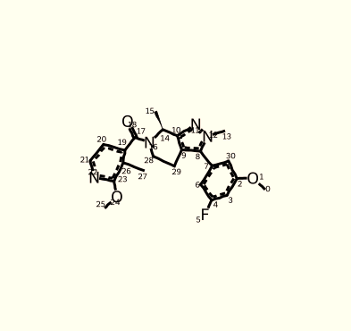 COc1cc(F)cc(-c2c3c(nn2C)[C@H](C)N(C(=O)c2ccnc(OC)c2C)CC3)c1